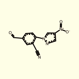 N#Cc1cc(C=O)ccc1-n1cc([N+](=O)[O-])cn1